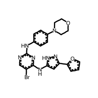 Brc1cnc(Nc2ccc(N3CCOCC3)cc2)nc1Nc1cc(-c2ccco2)n[nH]1